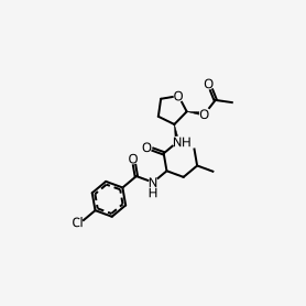 CC(=O)O[C@@H]1OCC[C@@H]1NC(=O)C(CC(C)C)NC(=O)c1ccc(Cl)cc1